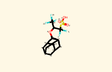 O=S(=O)(O)C(F)(F)C(OC1C2CC3CC(C2)CC1C3)C(F)(F)F